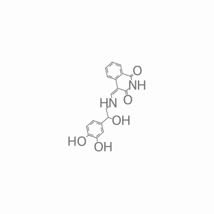 O=C1NC(=O)c2ccccc2C1=CNCC(O)c1ccc(O)c(O)c1